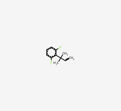 C=CC(C)(C)c1c(F)cccc1F